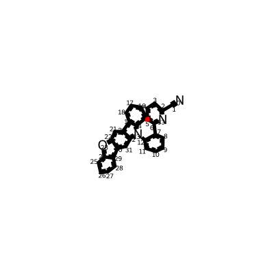 N#Cc1cccc(-c2ccccc2-n2c3ccccc3c3cc4oc5ccccc5c4cc32)n1